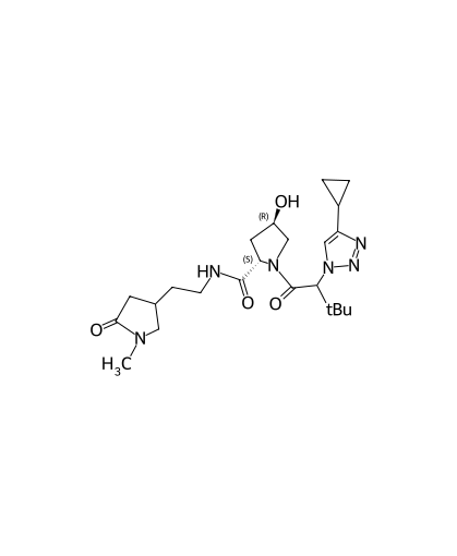 CN1CC(CCNC(=O)[C@@H]2C[C@@H](O)CN2C(=O)C(n2cc(C3CC3)nn2)C(C)(C)C)CC1=O